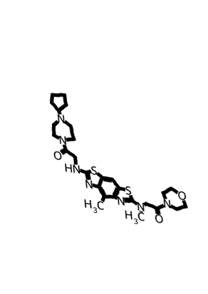 Cc1c2nc(NCC(=O)N3CCN(C4CCCC4)CC3)sc2cc2sc(N(C)CC(=O)N3CCOCC3)nc12